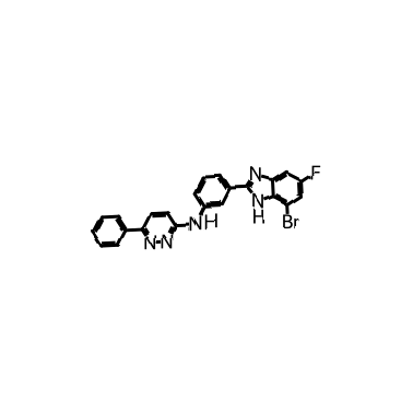 Fc1cc(Br)c2[nH]c(-c3cccc(Nc4ccc(-c5ccccc5)nn4)c3)nc2c1